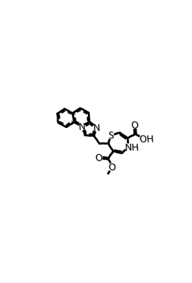 COC(=O)C1=CNC(C(=O)O)=CSC1Cc1cn2c(ccc3ccccc32)n1